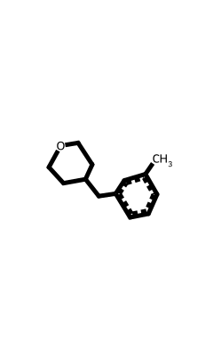 Cc1cccc(CC2CCOCC2)c1